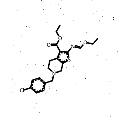 CCO/C=N/c1sc2c(c1C(=O)OCC)CCN(Cc1ccc(Cl)cc1)C2